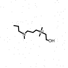 CCCN(C)CCC[N+](C)(C)CCO